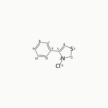 ClN1CSC=C1c1ccccc1